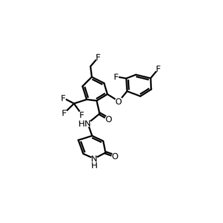 O=C(Nc1cc[nH]c(=O)c1)c1c(Oc2ccc(F)cc2F)cc(CF)cc1C(F)(F)F